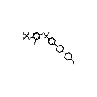 CC[C@H]1CC[C@H](C2CCC(c3ccc(C(F)(F)Oc4ccc(OC(F)(F)F)c(F)c4)cc3)CC2)CC1